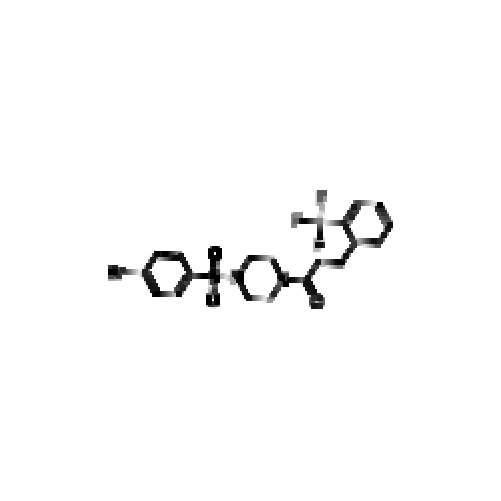 O=C(C=Cc1ccccc1C(F)(F)F)N1CCN(S(=O)(=O)c2ccc(Br)cc2)CC1